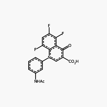 CC(=O)Nc1cccc(-n2cc(C(=O)O)c(=O)c3c(F)c(F)cc(F)c32)c1